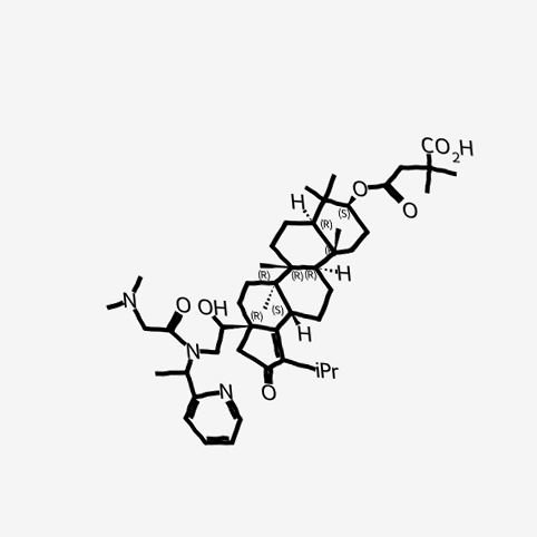 CC(C)C1=C2[C@H]3CC[C@@H]4[C@@]5(C)CC[C@H](OC(=O)CC(C)(C)C(=O)O)C(C)(C)[C@@H]5CC[C@@]4(C)[C@]3(C)CC[C@@]2(C(O)CN(C(=O)CN(C)C)C(C)c2ccccn2)CC1=O